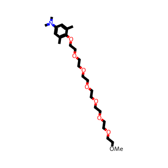 COCCOCCOCCOCCOCCOCCOCCOc1c(C)cc(N(C)C)cc1C